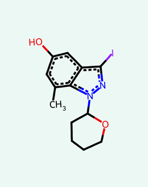 Cc1cc(O)cc2c(I)nn(C3CCCCO3)c12